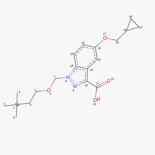 C[Si](C)(C)CCOCn1nc(C(=O)O)c2cc(OCC3CC3)ccc21